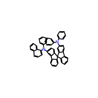 c1ccc(N(c2ccccc2)c2ccc3c(c2)C2(c4ccccc4-c4cc(N(c5ccccc5)c5cccc6ccccc56)ccc42)c2ccccc2-3)cc1